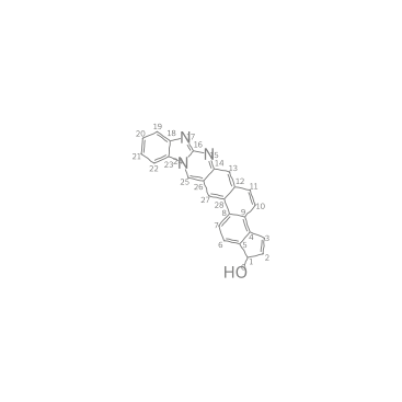 OC1C=Cc2c1ccc1c2ccc2cc3nc4nc5ccccc5n4cc3cc21